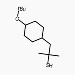 CC(C)(S)CC1CCC(OC(C)(C)C)CC1